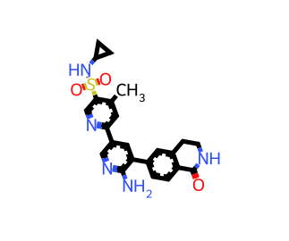 Cc1cc(-c2cnc(N)c(-c3ccc4c(c3)CCNC4=O)c2)ncc1S(=O)(=O)NC1CC1